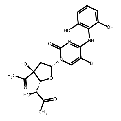 CC(=O)C(O)[C@H]1O[C@@H](n2cc(Br)c(Nc3c(O)cccc3O)nc2=O)C[C@@]1(O)C(C)=O